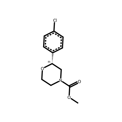 COC(=O)N1CCO[C@H](c2ccc(Cl)cc2)C1